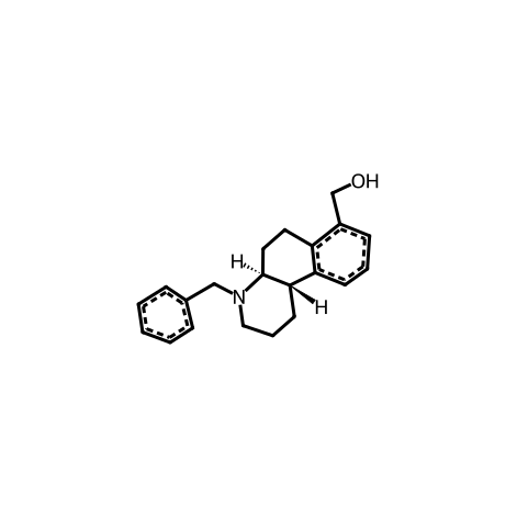 OCc1cccc2c1CC[C@H]1[C@H]2CCCN1Cc1ccccc1